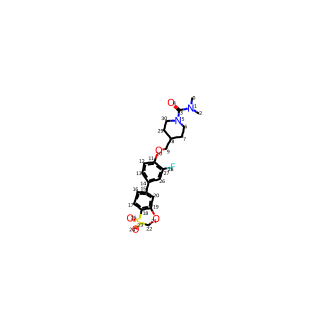 CN(C)C(=O)N1CCC(COc2ccc(-c3ccc4c(c3)OCS4(=O)=O)cc2F)CC1